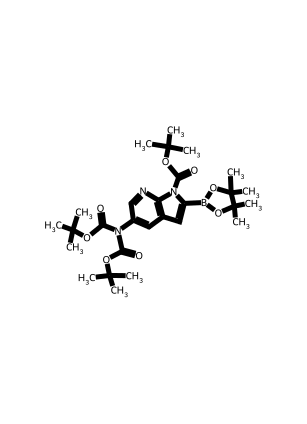 CC(C)(C)OC(=O)N(C(=O)OC(C)(C)C)c1cnc2c(c1)cc(B1OC(C)(C)C(C)(C)O1)n2C(=O)OC(C)(C)C